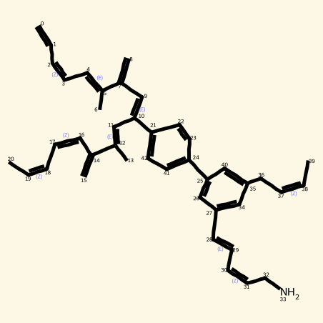 C=C/C=C\C=C(/C)C(=C)/C=C(\C=C(/C)C(=C)/C=C\C=C/C)c1ccc(-c2cc(/C=C/C=C\CN)cc(C/C=C\C)c2)cc1